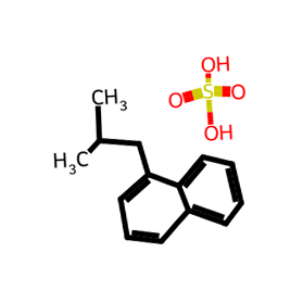 CC(C)Cc1cccc2ccccc12.O=S(=O)(O)O